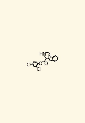 O=C(COc1ccc(Cl)cc1Cl)C1CNCCn2c1cc1ccccc12